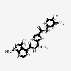 Cc1nn(C)c2ncnc(C(=O)N[C@@H](C)c3ncc(C(=O)Nc4cc(C(F)(F)F)c(Cl)cn4)s3)c12